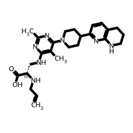 C=CCN[C@@H](CNc1nc(C)nc(N2CCC(c3ccc4c(n3)NCCC4)CC2)c1C)C(=O)O